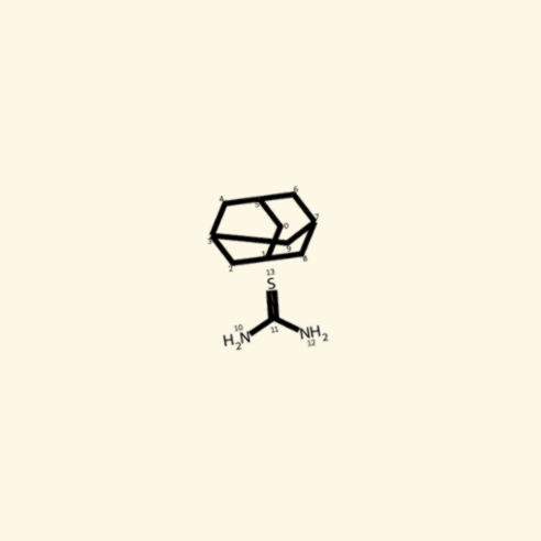 C1C2CC3CC1CC(C2)C3.NC(N)=S